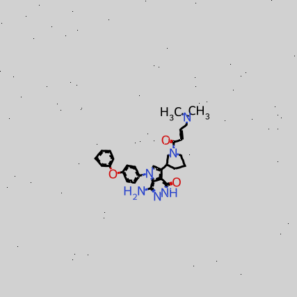 CN(C)CC=CC(=O)N1CCCC(c2cn(-c3ccc(Oc4ccccc4)cc3)c3c(N)n[nH]c(=O)c23)C1